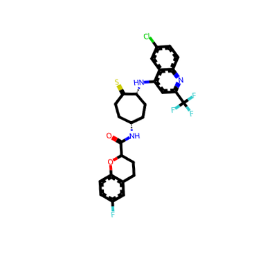 O=C(N[C@@H]1CCC(=S)[C@H](Nc2cc(C(F)(F)F)nc3ccc(Cl)cc23)CC1)C1CCc2cc(F)ccc2O1